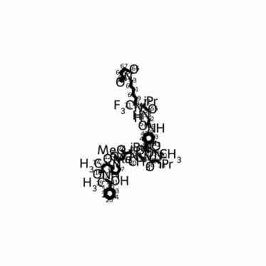 CCC(C)C(C(CC(=O)N1CCCC1C(OC)C(C)C(=O)NC(C)C(O)c1ccccc1)OC)N(C)C(=O)CNC(=O)C(C(C)C)N(C)C(=O)OCc1ccc(NC(=O)CNC(=O)C(NC(CCCCCN2C(=O)C=CC2=O)C(F)(F)F)C(C)C)cc1